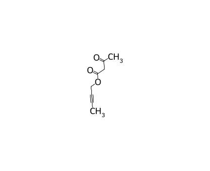 CC#CCOC(=O)CC(C)=O